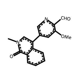 COc1cc(-c2cn(C)c(=O)c3ccccc23)cnc1C=O